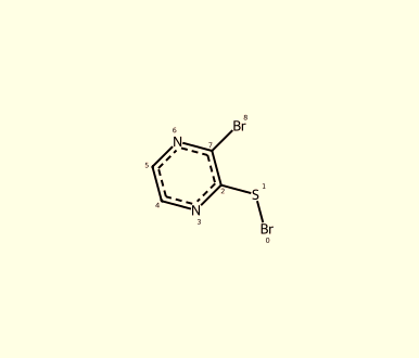 BrSc1nccnc1Br